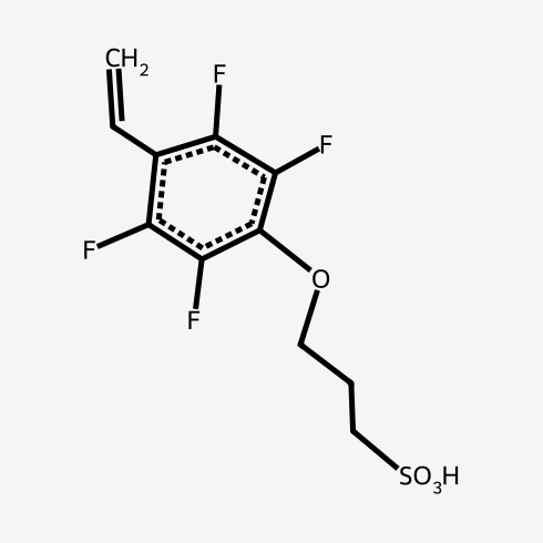 C=Cc1c(F)c(F)c(OCCCS(=O)(=O)O)c(F)c1F